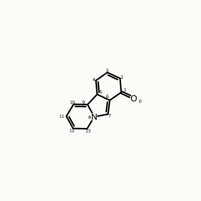 O=C1C=CC=c2c1cn1c2=CC=CC1